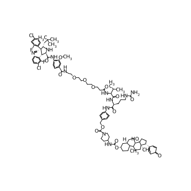 COc1cc(C(=O)NCCOCCOCCOCCC(=O)N[C@H](C(=O)N[C@@H](CCCNC(N)=O)C(=O)Nc2ccc(COC(=O)N3CCC(NC(=O)O[C@H]4CC[C@]5(C)C6CC[C@]7(C)[C@@H](C8=CCC(=O)C=C8)CC[C@]7(O)C6CC[C@@H]5C4)CC3)cc2)C(C)C)ccc1NC(=O)[C@@H]1N[C@@H](CC(C)(C)C)[C@](C#N)(c2ccc(Cl)cc2F)[C@H]1c1cccc(Cl)c1F